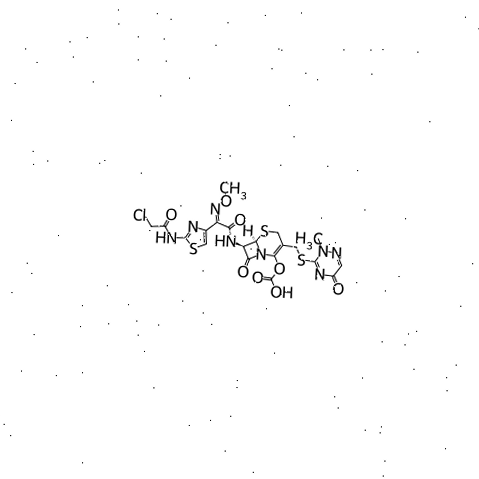 CO/N=C(\C(=O)N[C@@H]1C(=O)N2C(OC(=O)O)=C(CSc3nc(=O)cnn3C)CS[C@H]12)c1csc(NC(=O)CCl)n1